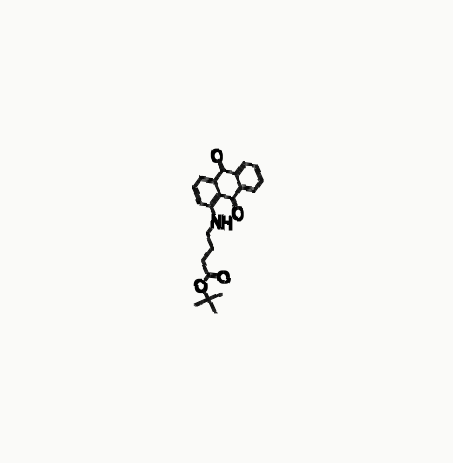 CC(C)(C)OC(=O)CCCNc1cccc2c1C(=O)c1ccccc1C2=O